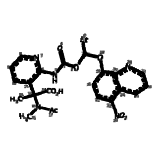 CCC(OC(=O)Nc1ncccc1C(C)(C(=O)O)N(C)C(C)=O)Oc1ccc([N+](=O)[O-])c2cccnc12